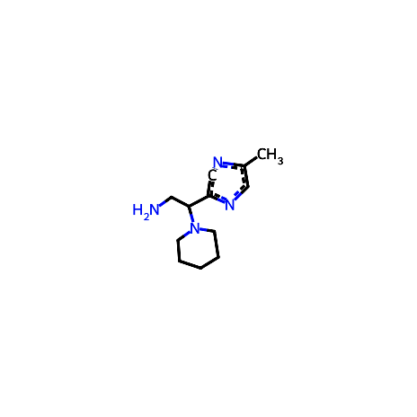 Cc1cnc(C(CN)N2CCCCC2)cn1